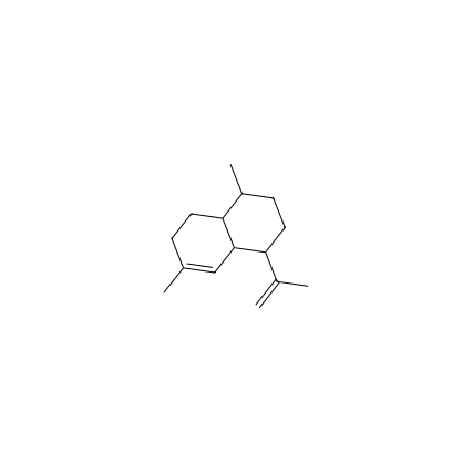 C=C(C)C1CCC(C)C2CCC(C)=CC12